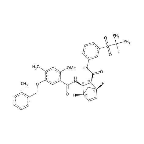 COc1cc(C)c(OCc2ccccc2C)cc1C(=O)N[C@H]1[C@@H](C(=O)Nc2cccc(S(=O)(=O)C(F)(P)P)c2)[C@@H]2C=C[C@H]1C2